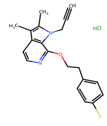 C#CCn1c(C)c(C)c2ccnc(OCCc3ccc(F)cc3)c21.Cl